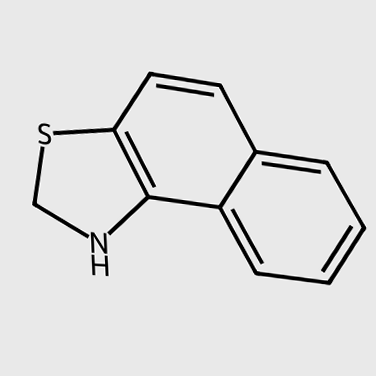 c1ccc2c3c(ccc2c1)SCN3